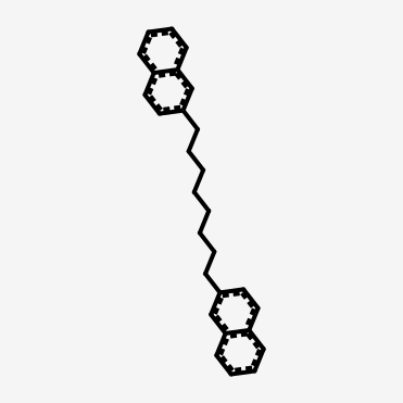 c1ccc2cc(CCCCCCCCc3ccc4ccccc4c3)ccc2c1